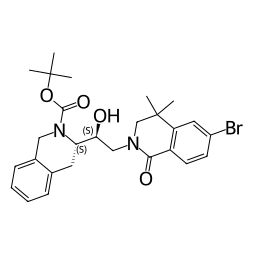 CC(C)(C)OC(=O)N1Cc2ccccc2C[C@H]1[C@@H](O)CN1CC(C)(C)c2cc(Br)ccc2C1=O